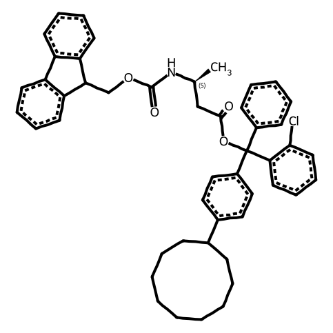 C[C@@H](CC(=O)OC(c1ccccc1)(c1ccc(C2CCCCCCCCC2)cc1)c1ccccc1Cl)NC(=O)OCC1c2ccccc2-c2ccccc21